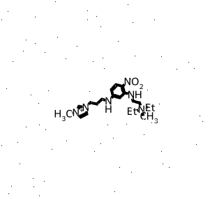 CC[N+](C)(CC)CCNc1cc(NCCCn2cc[n+](C)c2)ccc1[N+](=O)[O-]